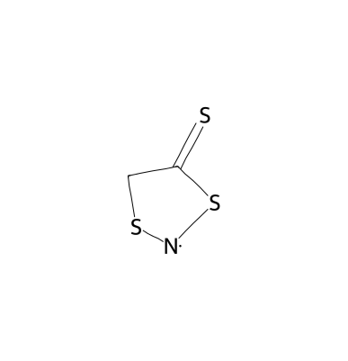 S=C1CS[N]S1